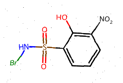 O=[N+]([O-])c1cccc(S(=O)(=O)NBr)c1O